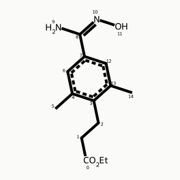 CCOC(=O)CCc1c(C)cc(/C(N)=N\O)cc1C